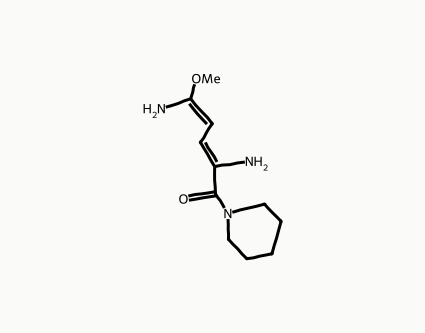 CO/C(N)=C/C=C(\N)C(=O)N1CCCCC1